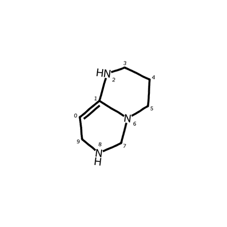 C1=C2NCCCN2CNC1